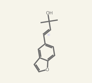 CC(C)(O)/C=C/c1ccc2occc2c1